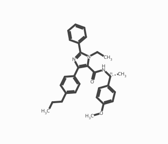 CCCc1ccc(-c2nc(-c3ccccc3)n(CC)c2C(=O)N[C@H](C)c2ccc(OC)cc2)cc1